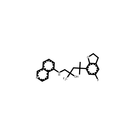 CC(C)(CC(O)(CNc1cccc2cnccc12)C(F)(F)F)c1cc(F)cc2c1OCC2